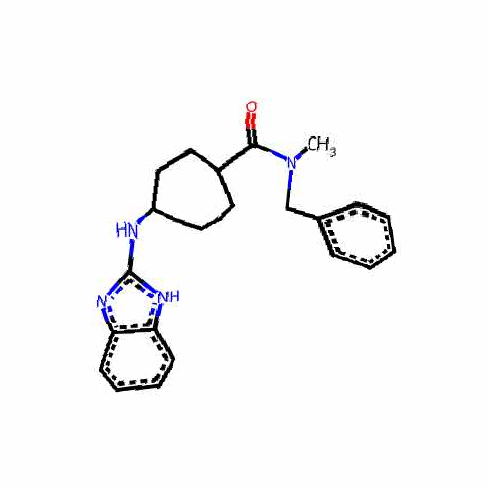 CN(Cc1ccccc1)C(=O)C1CCC(Nc2nc3ccccc3[nH]2)CC1